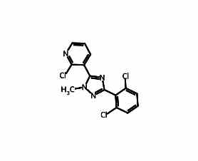 Cn1nc(-c2c(Cl)cccc2Cl)nc1-c1cccnc1Cl